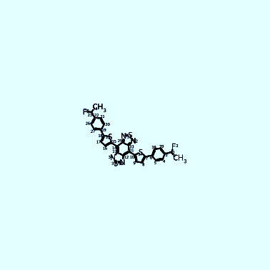 CC(F)c1ccc(-c2ccc(-c3c4c(c(-c5ccc(-c6ccc(C(C)F)cc6)s5)c5nsnc35)N=S=N4)s2)cc1